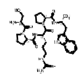 N=C(N)NCCC[C@H](NC(=O)[C@@H]1CCCN1C(=O)[C@@H](N)CO)C(=O)N1CCC[C@H]1C(=O)N[C@@H](Cc1c[nH]c2ccccc12)C(=O)O